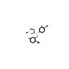 CC(C)N1C[C@@H](N(Cc2cc(F)ccc2C(F)(F)F)c2ccc(C#N)c(Cl)c2)CC1=O